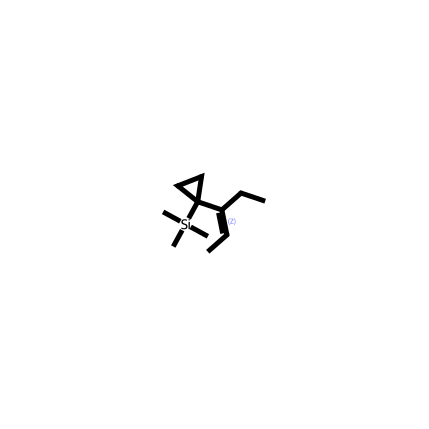 C/C=C(/CC)C1([Si](C)(C)C)CC1